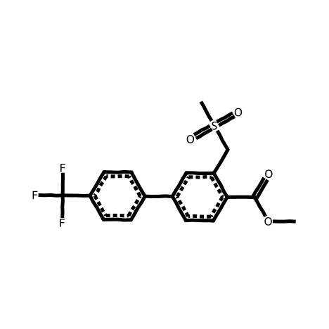 COC(=O)c1ccc(-c2ccc(C(F)(F)F)cc2)cc1CS(C)(=O)=O